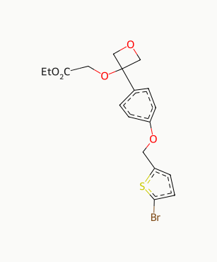 CCOC(=O)COC1(c2ccc(OCc3ccc(Br)s3)cc2)COC1